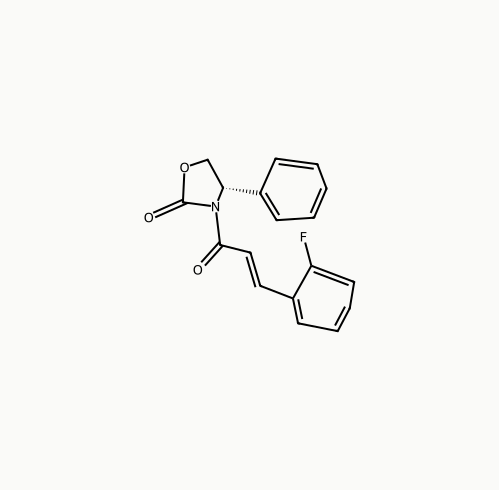 O=C(/C=C/c1ccccc1F)N1C(=O)OC[C@@H]1c1ccccc1